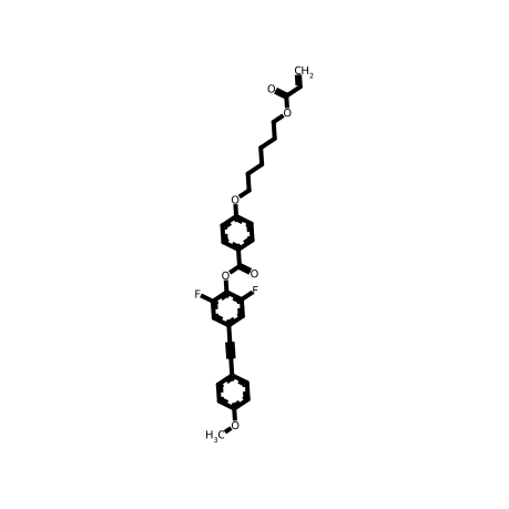 C=CC(=O)OCCCCCCOc1ccc(C(=O)Oc2c(F)cc(C#Cc3ccc(OC)cc3)cc2F)cc1